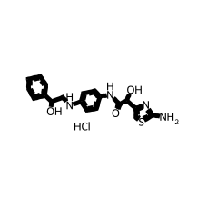 Cl.Nc1nc(C(O)C(=O)Nc2ccc(NCC(O)c3ccccc3)cc2)cs1